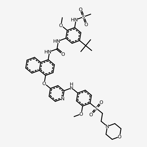 COc1cc(Nc2cc(Oc3ccc(NC(=O)Nc4cc(C(C)(C)C)cc(NS(C)(=O)=O)c4OC)c4ccccc34)ccn2)ccc1S(=O)(=O)CCN1CCOCC1